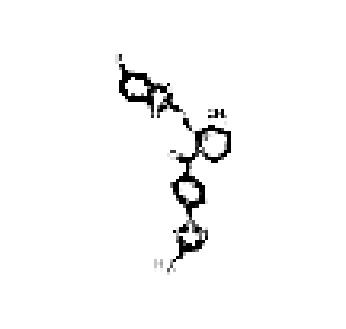 Cc1cnn(-c2ccc(C(=O)N3CCC[C@@H](C)[C@H]3CNc3nc4cc(F)ccc4o3)cc2)n1